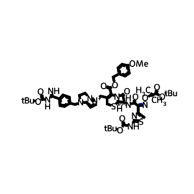 COc1ccc(COC(=O)C2=C(C[n+]3ccc4n3CCN4Cc3ccc(C(=N)NC(=O)OC(C)(C)C)cc3)CS[C@@H]3[C@H](NC(=O)/C(=N\OC(C)(C)C(=O)OC(C)(C)C)c4csc(NC(=O)OC(C)(C)C)n4)C(=O)N23)cc1